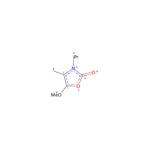 COc1oc(=O)n(C(C)C)c1C